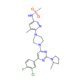 Cc1cc(NS(C)(=O)=O)cnc1N1CCN(c2cc(-c3ccc(F)c(Cl)c3)nc(N3CCCC3C)n2)CC1